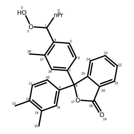 CCCC(OO)c1ccc(C2(c3ccc(C)c(C)c3)OC(=O)c3ccccc32)cc1C